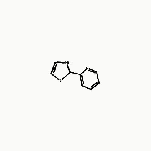 C1=CSC(c2ccccn2)N1